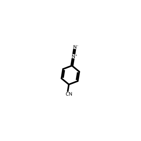 N#CC1C=CC(=[N+]=[N-])C=C1